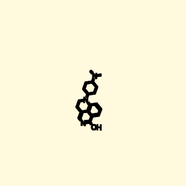 CN(C)C1CCC(N2CCc3cnc(O)c4cccc2c34)CC1